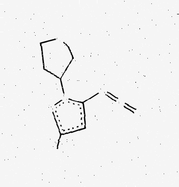 Cc1cc(N=C=S)n(C2CCOC2)n1